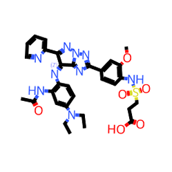 CCN(CC)c1ccc(/N=C2/C(c3ccccn3)=Nn3nc(-c4ccc(NS(=O)(=O)CCC(=O)O)c(OC)c4)nc32)c(NC(C)=O)c1